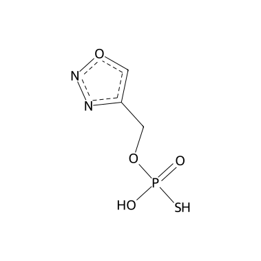 O=P(O)(S)OCc1conn1